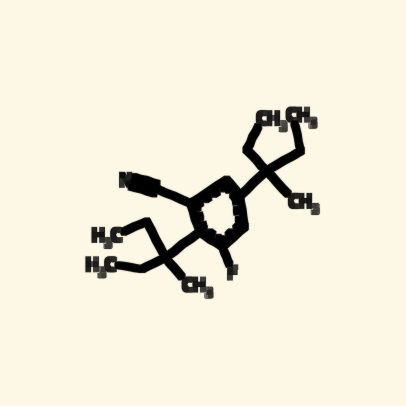 CCC(C)(CC)c1cc(F)c(C(C)(CC)CC)c(C#N)c1